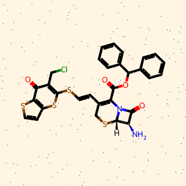 N[C@@H]1C(=O)N2C(C(=O)OC(c3ccccc3)c3ccccc3)=C(C=CSc3sc4ccsc4c(=O)c3CCl)CS[C@@H]12